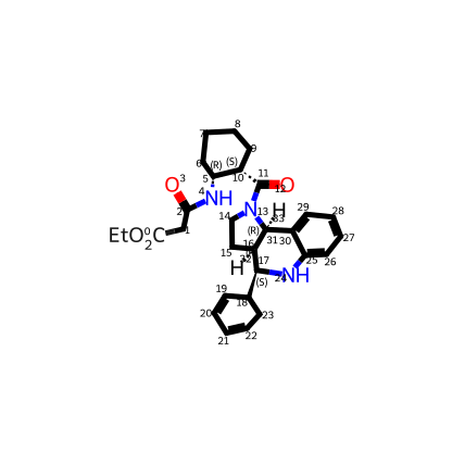 CCOC(=O)CC(=O)N[C@@H]1CCCC[C@@H]1C(=O)N1CC[C@@H]2[C@H](C3C=CC=CC3)Nc3ccccc3[C@@H]21